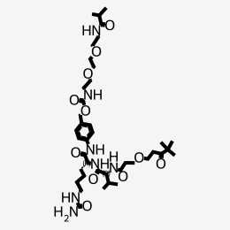 CC(C)C(=O)NCCOCCOCCNC(=O)OCc1ccc(NC(=O)[C@@H](CCCCNC(N)=O)NC(=O)[C@H](NC(=O)CCOCCC(=O)C(C)(C)C)C(C)C)cc1